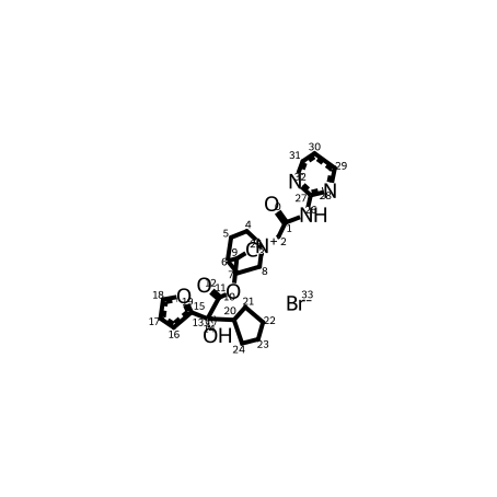 O=C(C[N+]12CCC(CC1)C(OC(=O)[C@](O)(c1ccco1)C1CCCC1)C2)Nc1ncccn1.[Br-]